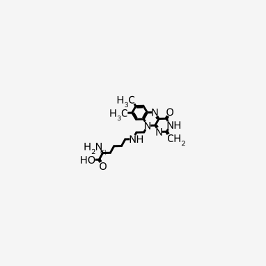 C=c1nc2c(c(=O)[nH]1)=Nc1cc(C)c(C)cc1N2CCNCCCC[C@H](N)C(=O)O